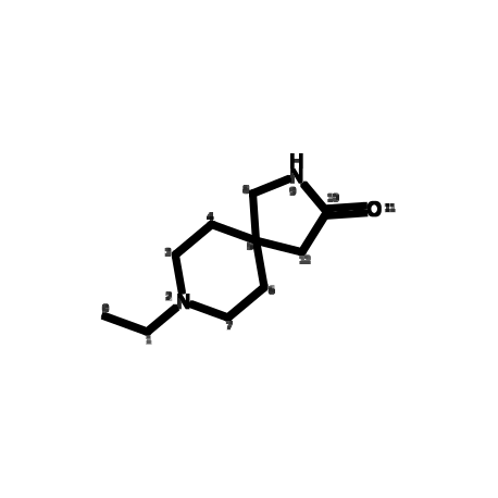 CCN1CCC2(CC1)CNC(=O)C2